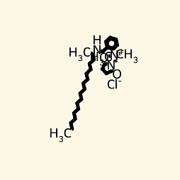 CCCCCCCCCCCCCCCCC(C)NC(=O)c1ccccc1[N+](C)(C)CN1CCCC1=O.[Cl-]